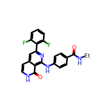 CCNC(=O)c1ccc(Nc2nc(-c3c(F)cccc3F)cc3cc[nH]c(=O)c23)cc1